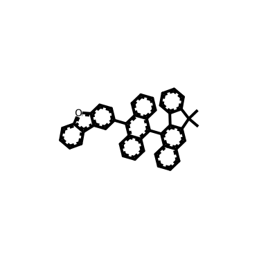 CC1(C)c2ccccc2-c2c1cc1ccccc1c2-c1c2ccccc2c(-c2ccc3oc4ccccc4c3c2)c2ccccc12